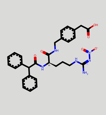 N/C(=N/[N+](=O)[O-])NCCC[C@@H](NC(=O)C(c1ccccc1)c1ccccc1)C(=O)NCc1ccc(CC(=O)O)cc1